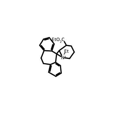 CCOC(=O)C1CCC[N@+]2(CC)C1C21c2ccccc2CCc2ccccc21